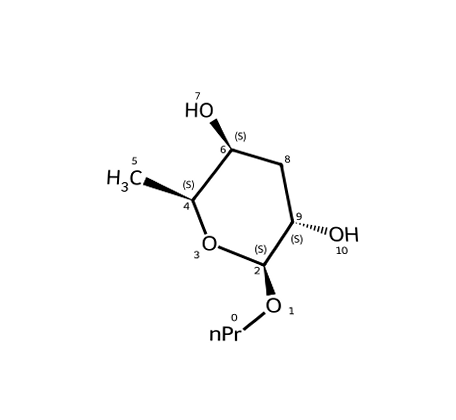 CCCO[C@H]1O[C@@H](C)[C@@H](O)C[C@@H]1O